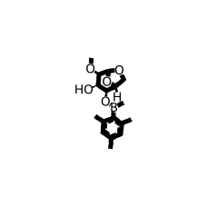 CO[C@H]1C2OC[C@@H](O2)[C@@H](OB(C)c2c(C)cc(C)cc2C)[C@@H]1O